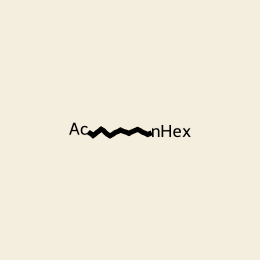 CCCCCCCCCCCCCC(C)=O